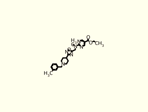 CCOC(=O)c1cnc(N(C)Cc2nc(C3CCN(Cc4cccc(C)c4)CC3)no2)nc1